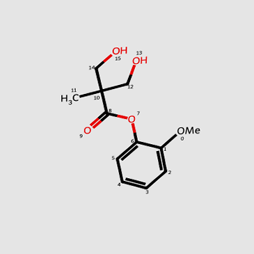 COc1ccccc1OC(=O)C(C)(CO)CO